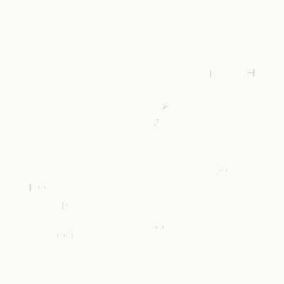 OB(O)c1cc2c(c3ccccc13)-c1c(cc(B(O)O)c3ccccc13)OCCCO2